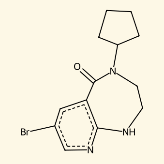 O=C1c2cc(Br)cnc2NCCN1C1CCCC1